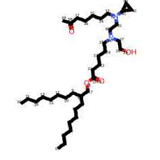 CCCCCCCCC(CCCCCCCC)COC(=O)CCCCCN(CCO)CCN(CCCCCC(C)=O)C1CC1